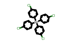 Clc1cc[c]([Sn]([c]2ccc(Cl)cc2)([c]2ccc(Cl)cc2)[c]2ccc(Cl)cc2)cc1